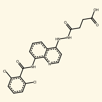 O=C(O)CCC(=O)NNc1ccnc2c(NC(=O)c3c(Cl)cccc3Cl)cccc12